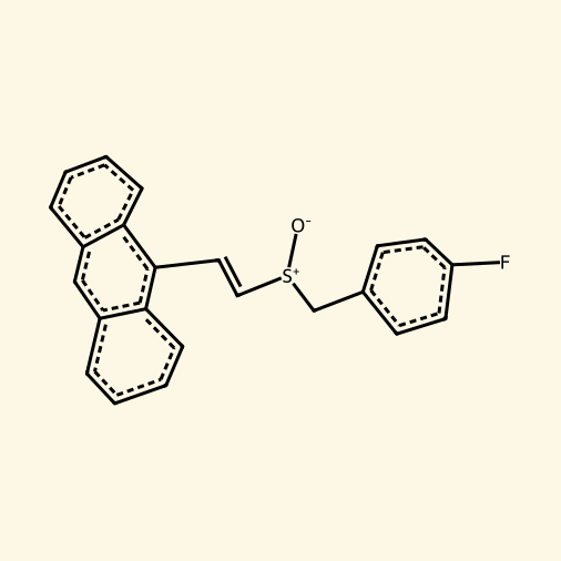 [O-][S+](C=Cc1c2ccccc2cc2ccccc12)Cc1ccc(F)cc1